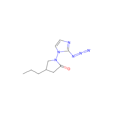 CCCC1CC(=O)N(n2ccnc2N=[N+]=[N-])C1